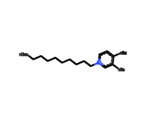 CCCCCCCCCCCCCCCCCCC[n+]1ccc(CCCC)c(CCCC)c1